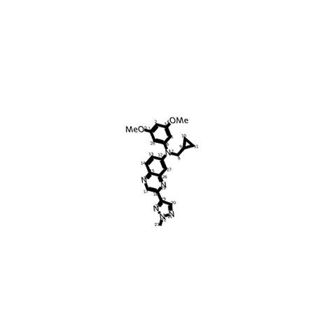 COc1cc(OC)cc(N(CC2CC2)c2ccc3ncc(-c4cnn(C)n4)nc3c2)c1